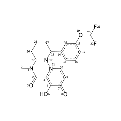 CN1C(=O)c2c(O)c(=O)ccn2N2C(c3cccc(OC(F)F)c3)CCCC12